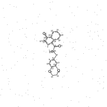 Cn1cc(C(=O)NCc2ccc3c(c2)OCCO3)c2ccccc2c1=O